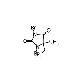 CC(C)CC1(C)C(=O)N(Br)C(=O)N1Br